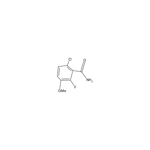 COc1ccc(Cl)c(C(N)=O)c1F